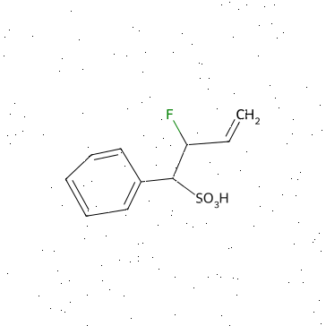 C=CC(F)C(c1ccccc1)S(=O)(=O)O